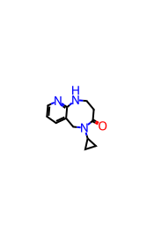 O=C1CCNc2ncccc2CN1C1CC1